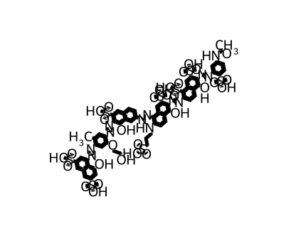 CC(=O)Nc1ccc(S(=O)(=O)O)c(N=Nc2c(S(=O)(=O)O)cc3c(S(=O)(=O)O)c(N=Nc4c(S(=O)(=O)O)cc5c(N=Nc6ccc7cc(S(=O)(=O)O)c(N=Nc8cc(C)c(N=Nc9cc(S(=O)(=O)O)cc%10cc(S(=O)(=O)O)cc(O)c9%10)cc8OCCO)c(O)c7c6)c(NCCCS(=O)(=O)O)ccc5c4O)ccc3c2O)c1